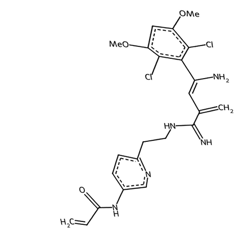 C=CC(=O)Nc1ccc(CCNC(=N)C(=C)/C=C(\N)c2c(Cl)c(OC)cc(OC)c2Cl)nc1